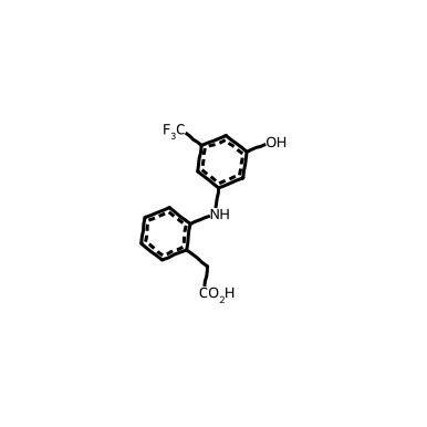 O=C(O)Cc1ccccc1Nc1cc(O)cc(C(F)(F)F)c1